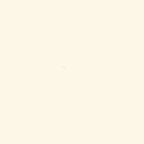 CCCC(C)(CCC)/N=C(/C)C(C)SCC